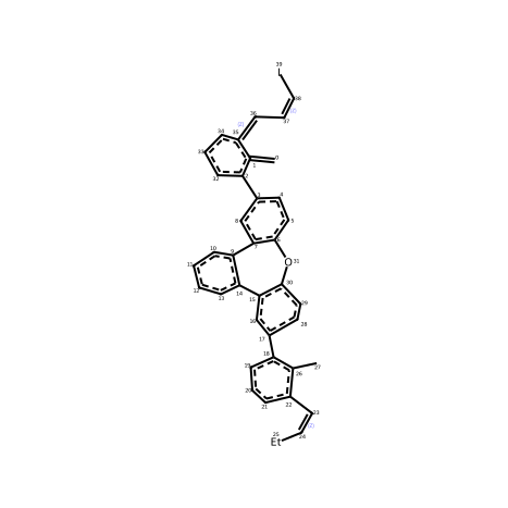 C=c1c(-c2ccc3c(c2)-c2ccccc2-c2cc(-c4cccc(/C=C\CC)c4C)ccc2O3)ccc/c1=C/C=C\I